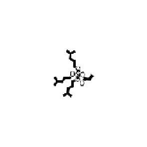 C=CC(=O)O[Si](OCCCC(C)C)(OCCCC(C)C)OCCCC(C)C